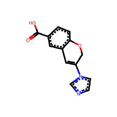 O=C(O)c1ccc2c(c1)C=C(n1ccnc1)CO2